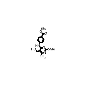 CSc1nc(C)c(CO)c(Nc2ccc(C(=O)OC(C)(C)C)cc2)n1